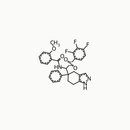 COc1ccccc1C(=O)NC(C1(c2ccccc2)CCc2[nH]ncc2C1)S(=O)(=O)c1ccc(F)c(F)c1F